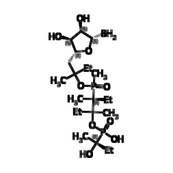 B[C@@H]1O[C@H](CC(C)(CC)OP(C)(=O)[C@](C)(CC)C(C)(CC)OP(=O)(O)[C@@](C)(O)CC)[C@@H](O)[C@H]1O